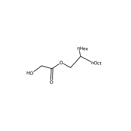 CCCCCCCCC(CCCCCC)COC(=O)CO